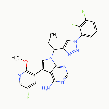 CCC(c1cn(-c2cccc(F)c2F)nn1)n1cc(-c2cc(F)cnc2OC)c2c(N)ncnc21